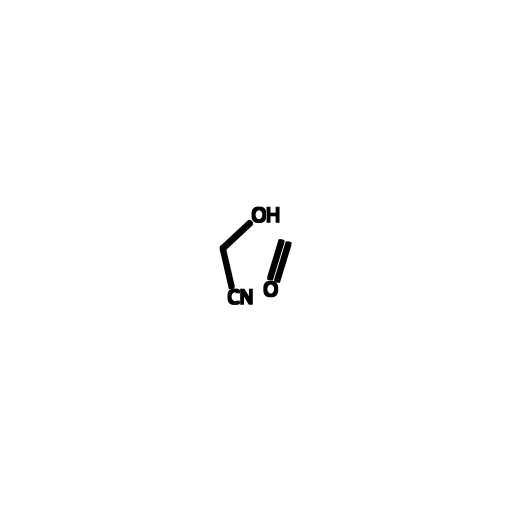 C=O.N#CCO